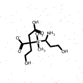 C[N+](C)(C(N)CCO)C(CCO)(CC(=O)O)C(=O)[O-]